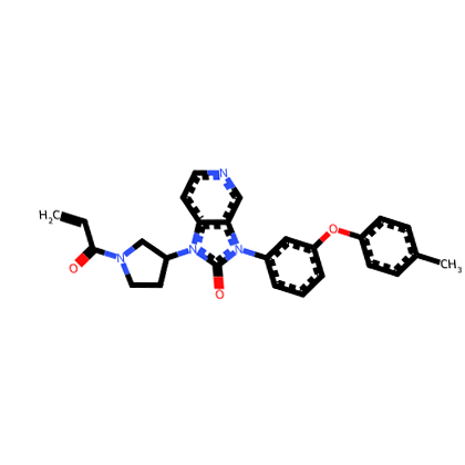 C=CC(=O)N1CCC(n2c(=O)n(-c3cccc(Oc4ccc(C)cc4)c3)c3cnccc32)C1